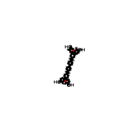 Cc1cc(C2(c3ccc(O)c(C)c3)CCC(C(C)(C)c3ccc(-c4ccc(C(C)(C)C5CCC(c6ccc(O)c(C)c6)(c6ccc(O)c(C)c6)CC5)cc4)cc3)CC2)ccc1O